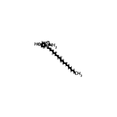 CCCCCCCCCCCCCCCCCCCCCCN(C(N)=O)c1ccc(O)cc1